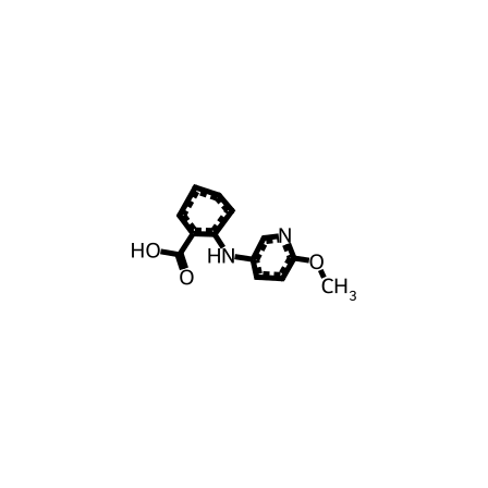 COc1ccc(Nc2ccccc2C(=O)O)cn1